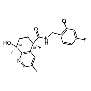 Cc1cnc2c(c1)[C@](F)(C(=O)NCc1ccc(F)cc1Cl)CC[C@]2(C)O